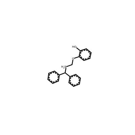 Oc1ccccc1OC[SiH2]C(c1ccccc1)c1ccccc1